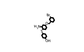 Nc1cc(OCc2cccc(Br)c2)ccc1Sc1ccc(O)cc1